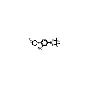 CC1(C)OB(c2ccc(N3CC[C@@H](F)C3)c(C#N)c2)OC1(C)C